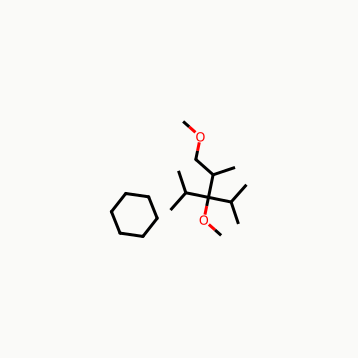 C1CCCCC1.COCC(C)C(OC)(C(C)C)C(C)C